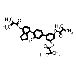 C=C(C)C(=O)Oc1cc(OC(=O)C(=C)C)cc(-c2ccc(-c3ccc(OC(=O)C(=C)C)c4c3CCC4)c(C)c2)c1